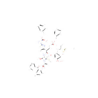 CCCCCCCC[S+]([O-])C(C)Cc1ccc2c(c1)OCO2.O=C(C/C=C(/C(=O)N[C@@H]1C(=O)N2C(C(=O)OC(c3ccccc3)c3ccccc3)=CCS[C@H]12)c1csc(NC(=O)OCc2ccccc2)n1)OCc1ccccc1